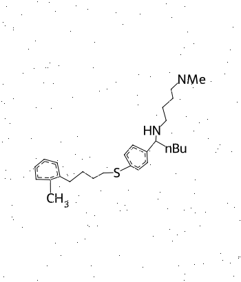 CCCCC(NCCCCNC)c1ccc(SCCCCc2ccccc2C)cc1